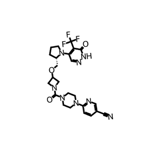 N#Cc1ccc(N2CCN(C(=O)N3CC(OC[C@@H]4CCCN4c4cn[nH]c(=O)c4C(F)(F)F)C3)CC2)nc1